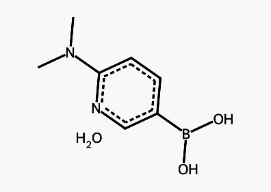 CN(C)c1ccc(B(O)O)cn1.O